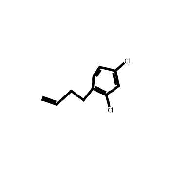 C=CCCc1ccc(Cl)cc1Cl